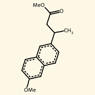 COC(=O)CC(C)c1ccc2cc(OC)ccc2c1